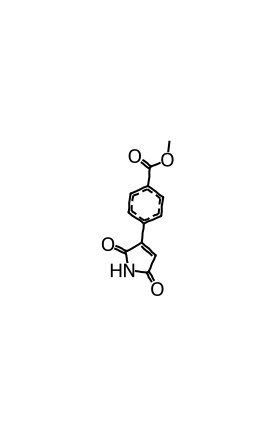 COC(=O)c1ccc(C2=CC(=O)NC2=O)cc1